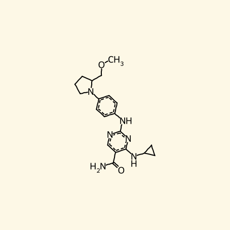 COCC1CCCN1c1ccc(Nc2ncc(C(N)=O)c(NC3CC3)n2)cc1